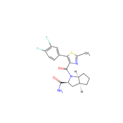 Cc1nc(C(=O)N2[C@H](C(N)=O)C[C@@H]3CCC[C@@H]32)c(-c2ccc(F)c(F)c2)s1